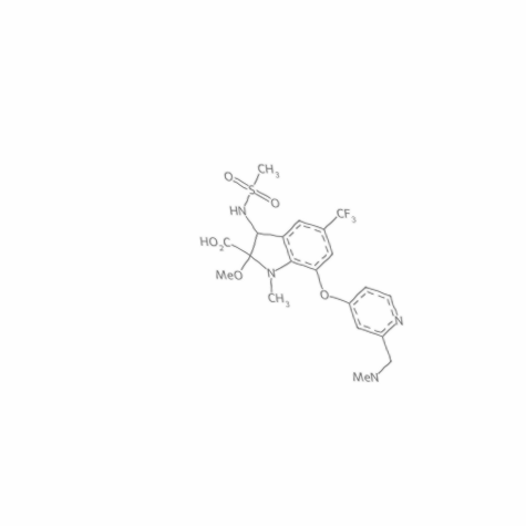 CNCc1cc(Oc2cc(C(F)(F)F)cc3c2N(C)C(OC)(C(=O)O)C3NS(C)(=O)=O)ccn1